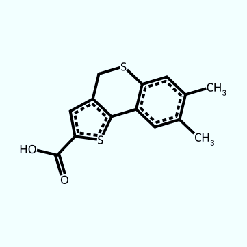 Cc1cc2c(cc1C)-c1sc(C(=O)O)cc1CS2